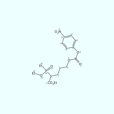 CCOC(=O)C(CCCOC(=O)Oc1ccc([N+](=O)[O-])cc1)P(=O)(CC)OCC